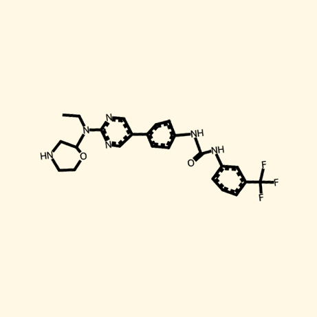 CCN(c1ncc(-c2ccc(NC(=O)Nc3cccc(C(F)(F)F)c3)cc2)cn1)C1CNCCO1